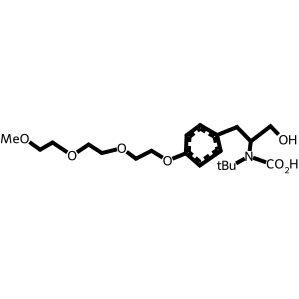 COCCOCCOCCOc1ccc(CC(CO)N(C(=O)O)C(C)(C)C)cc1